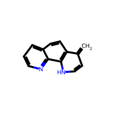 C=C1C=CNc2c1ccc1cccnc21